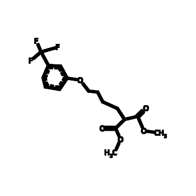 COC(=O)C(CCCCOc1cccc(C(F)(F)F)c1)C(=O)OC